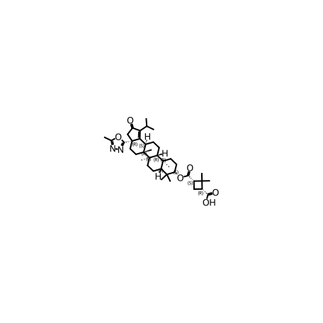 Cc1nnc([C@@]23CC[C@]4(C)[C@H](CC[C@@H]5[C@@]6(C)CC[C@H](OC(=O)[C@H]7C[C@@H](C(=O)O)C7(C)C)C(C)(C)[C@@H]6CC[C@]54C)C2=C(C(C)C)C(=O)C3)o1